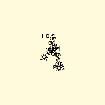 Cc1ccc(CCN(C(=O)C2=C(c3ccc(CCCOc4c(F)ccc(F)c4F)cc3)C[C@@H]3CN(C(=O)CCCC(=O)O)C[C@H]2N3)C2CC2)cc1